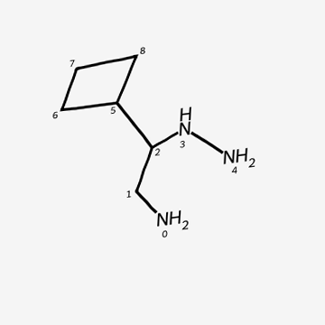 NCC(NN)C1CCC1